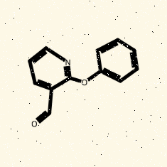 O=Cc1cccnc1Oc1ccccc1